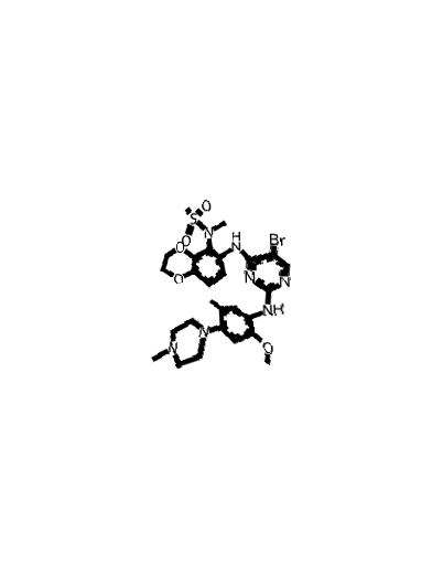 COc1cc(N2CCN(C)CC2)c(C)cc1Nc1ncc(Br)c(Nc2ccc3c(c2N(C)S(C)(=O)=O)OCCO3)n1